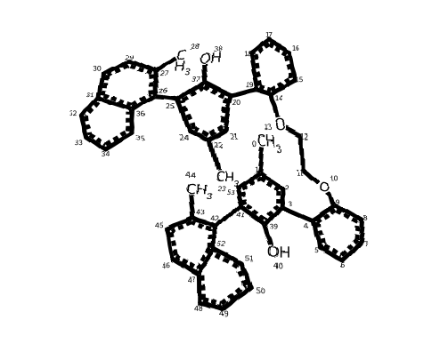 Cc1cc(-c2ccccc2OCCOc2ccccc2-c2cc(C)cc(-c3c(C)ccc4ccccc34)c2O)c(O)c(-c2c(C)ccc3ccccc23)c1